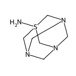 NS12CN3CN(CN(C3)C1)C2